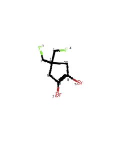 FCC1(CF)CC(Br)=C(Br)C1